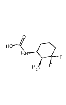 N[C@H]1[C@@H](NC(=O)O)CCCC1(F)F